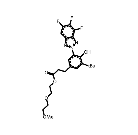 COCCOCCOC(=O)CCc1cc(-n2nc3cc(F)c(F)c(F)c3n2)c(O)c(C(C)(C)C)c1